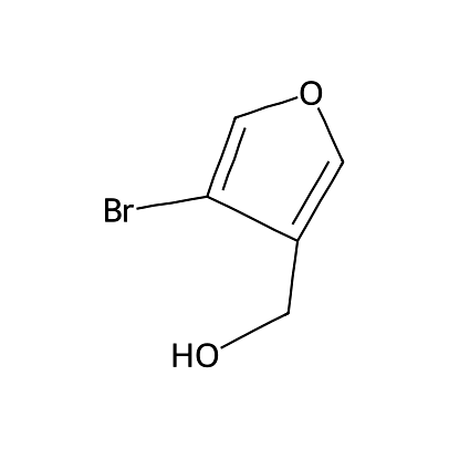 OCc1cocc1Br